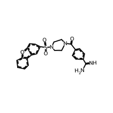 N=C(N)c1ccc(C(=O)N2CCN(S(=O)(=O)c3ccc4oc5ccccc5c4c3)CC2)cc1